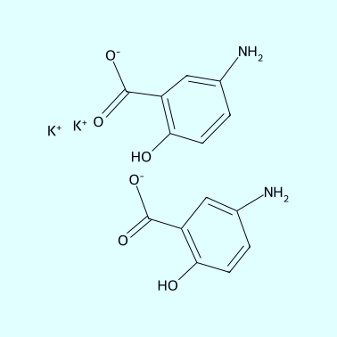 Nc1ccc(O)c(C(=O)[O-])c1.Nc1ccc(O)c(C(=O)[O-])c1.[K+].[K+]